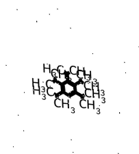 CC(C)c1cc(C(C)C)c(C(C)C)c(C(C)C)c1C(C)C